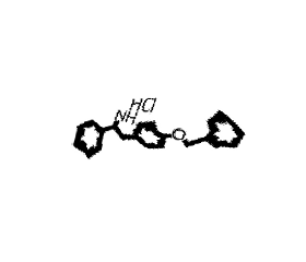 Cl.NC(Cc1ccc(OCc2ccccc2)cc1)c1ccccc1